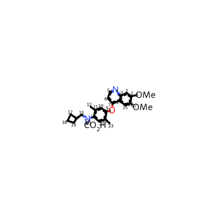 COc1cc2nccc(Oc3cc(C)c(N(CC4CCC4)C(=O)O)cc3C)c2cc1OC